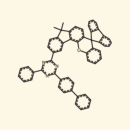 CC1(C)c2ccc(-c3nc(-c4ccccc4)nc(-c4ccc(-c5ccccc5)cc4)n3)cc2-c2c1ccc1c2Oc2ccccc2C12c1ccccc1-c1ccccc12